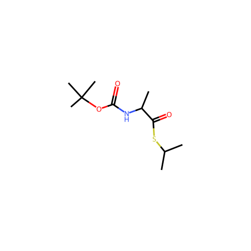 CC(C)SC(=O)C(C)NC(=O)OC(C)(C)C